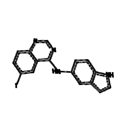 Ic1ccc2ncnc(Nc3ccc4[nH]ccc4c3)c2c1